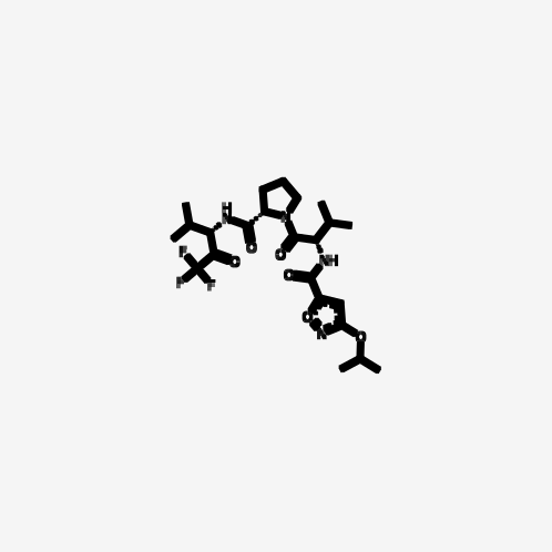 CC(C)Oc1cc(C(=O)N[C@H](C(=O)N2CCC[C@H]2C(=O)N[C@H](C(=O)C(F)(F)F)C(C)C)C(C)C)on1